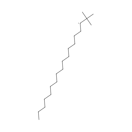 CCCCCCCCCCCCCCC[CH]C(C)(C)C